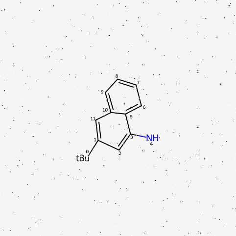 CC(C)(C)c1cc([NH])c2ccccc2c1